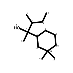 CCC(C)C(C)(O)C1CCCC(C)(C)C1